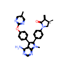 C=C1C(=O)N(c2ccc(-c3c(-c4ccc(Oc5ncc(C)cn5)cc4)c4c(N)ncnc4n3C)cc2)C[C@@H]1C